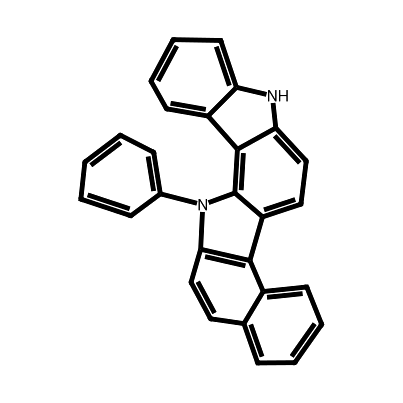 c1ccc(-n2c3ccc4ccccc4c3c3ccc4[nH]c5ccccc5c4c32)cc1